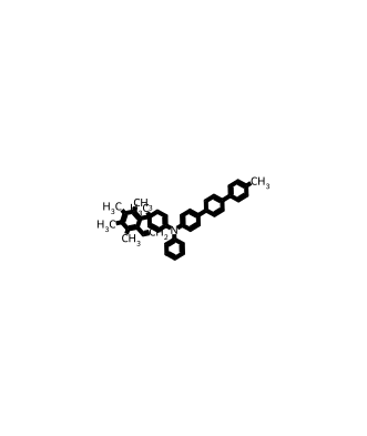 C=Cc1c(C)c(C)c(C)c(C)c1C1(C)C=CC(N(c2ccccc2)c2ccc(C3C=CC(c4ccc(C)cc4)=CC3)cc2)=CC1